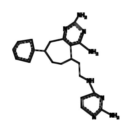 Nc1nccc(NCCC2CCC(c3ccccc3)Cc3nc(N)nc(N)c32)n1